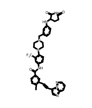 Cc1ccc(C(=O)Nc2ccc(N3CCN(Cc4cccc(NC5CCC(=O)NC5=O)c4)CC3)c(C(F)(F)F)c2)cc1C#Cc1cnc2cccnn12